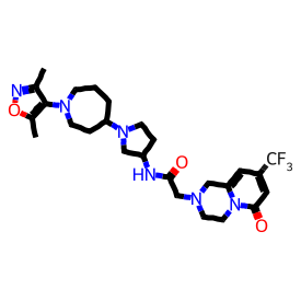 Cc1noc(C)c1N1CCCC(N2CCC(NC(=O)CN3CCn4c(cc(C(F)(F)F)cc4=O)C3)C2)CC1